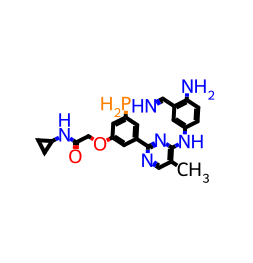 Cc1cnc(-c2cc(P)cc(OCC(=O)NC3CC3)c2)nc1Nc1ccc(N)c(C=N)c1